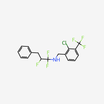 FC(Cc1ccccc1)C(F)(F)NCc1cccc(C(F)(F)F)c1Cl